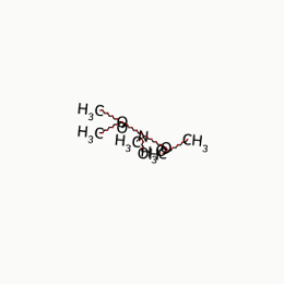 CCCCCCCCC(CC)OC(=O)CCCCCCCN(CCCCCCCC(=O)OC(CCCCCCCC)CCCCCCCC)C(CC)CCCCO